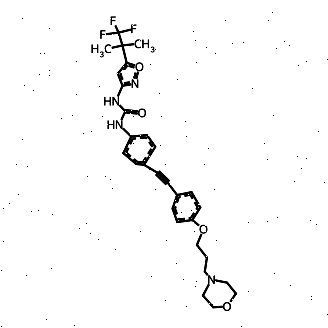 CC(C)(c1cc(NC(=O)Nc2ccc(C#Cc3ccc(OCCCN4CCOCC4)cc3)cc2)no1)C(F)(F)F